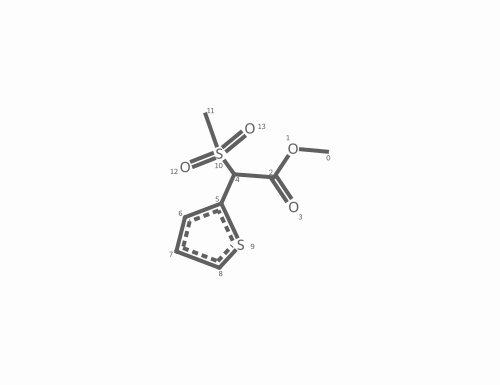 COC(=O)C(c1cccs1)S(C)(=O)=O